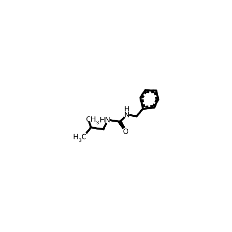 CC(C)CNC(=O)NCc1ccccc1